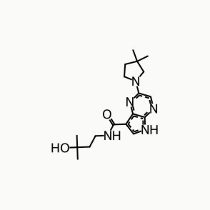 CC(C)(O)CCNC(=O)c1c[nH]c2ncc(N3CCC(C)(C)C3)nc12